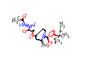 CC(=O)NNC(=O)COC1CCN(C(=O)OC(C)(C)C)[C@@H](C)C1